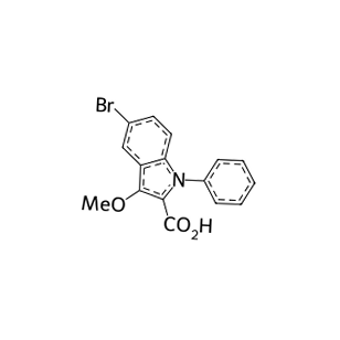 COc1c(C(=O)O)n(-c2ccccc2)c2ccc(Br)cc12